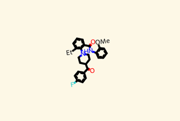 CCc1cccc(C(=O)Nc2ccccc2OC)c1N1CCC(C(=O)c2ccc(F)cc2)CC1